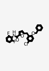 O=C(Nc1c(F)cccc1F)c1ccc(Cc2cc(Cl)ccc2OCc2ccccc2)o1